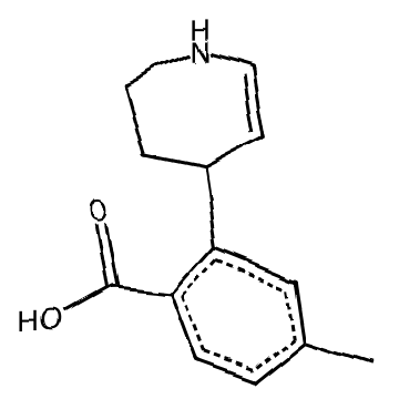 Cc1ccc(C(=O)O)c(C2C=CNCC2)c1